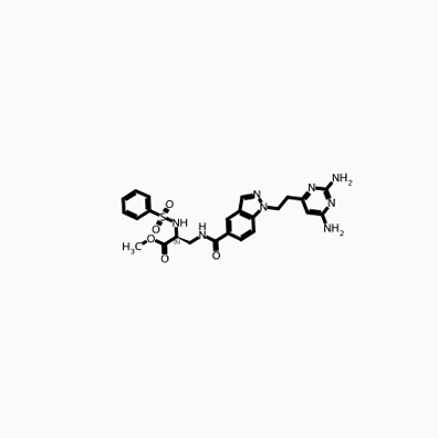 COC(=O)[C@H](CNC(=O)c1ccc2c(cnn2CCc2cc(N)nc(N)n2)c1)NS(=O)(=O)c1ccccc1